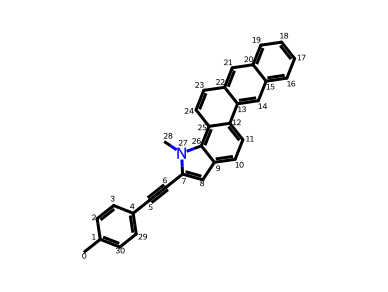 Cc1ccc(C#Cc2cc3ccc4c5cc6ccccc6cc5ccc4c3n2C)cc1